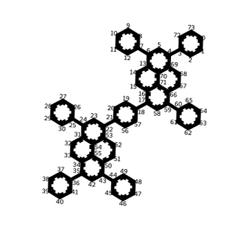 c1ccc(-c2cc(-c3ccccc3)c3ccc4c(-c5ccc(-c6cc(-c7ccccc7)c7ccc8c(-c9ccccc9)cc(-c9ccccc9)c9ccc6c7c89)cc5)cc(-c5ccccc5)c5ccc2c3c54)cc1